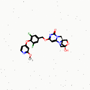 O=c1nc(OCc2cc(F)c(Oc3ccnc(OC(F)(F)F)c3)c(F)c2)cc2n1C[C@]13CO[C@](O)(CN21)C3